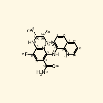 CCC[C@@H](Nc1nc(Nc2cccc3cccnc23)c(C(N)=O)cc1F)[C@H](C)N